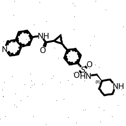 O=C(Nc1ccc2cnccc2c1)C1CC1c1ccc(S(=O)(=O)NC[C@@H]2CCCNC2)cc1